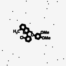 COc1ccc(OCc2cc3cccc(C)c3nc2-c2ccccc2Cl)cc1OC